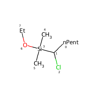 CCCCCC(Cl)[Si](C)(C)OCC